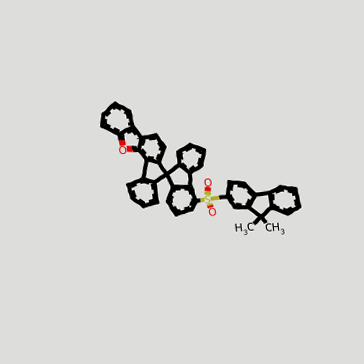 CC1(C)c2ccccc2-c2ccc(S(=O)(=O)c3cccc4c3-c3ccccc3C43c4ccccc4-c4c3ccc3c4oc4ccccc43)cc21